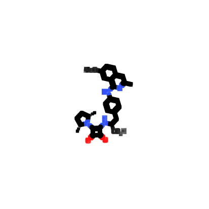 COc1ccc2cc(C)nc(Nc3ccc(C[C@H](Nc4c(N5[C@H](C)CC[C@@H]5C)c(=O)c4=O)C(=O)O)cc3)c2c1